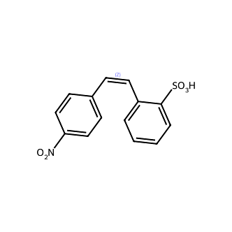 O=[N+]([O-])c1ccc(/C=C\c2ccccc2S(=O)(=O)O)cc1